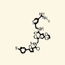 N=C(N)c1csc(CNC(=O)C2CC3(CN2C(=O)CNC(=O)c2ccc(-c4ccc(F)cc4)o2)OCCO3)c1